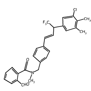 Cc1cc(C(/C=C/c2ccc(CN(C)C(=O)c3ccccc3C=O)cc2)C(F)(F)F)cc(Cl)c1C